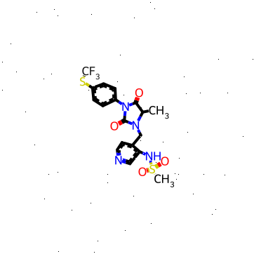 CC1C(=O)N(c2ccc(SC(F)(F)F)cc2)C(=O)N1Cc1ccncc1NS(C)(=O)=O